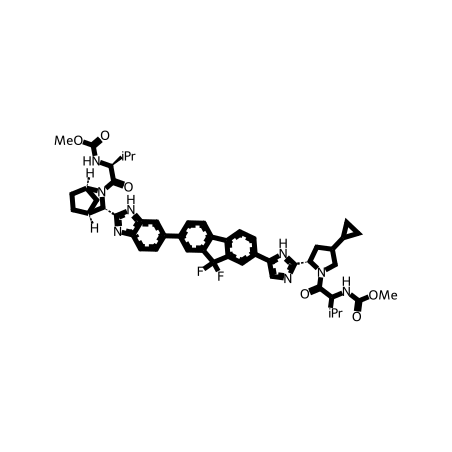 COC(=O)NC(C(=O)N1CC(C2CC2)C[C@H]1c1ncc(-c2ccc3c(c2)C(F)(F)c2cc(-c4ccc5nc([C@@H]6[C@H]7CC[C@H](C7)N6C(=O)[C@@H](NC(=O)OC)C(C)C)[nH]c5c4)ccc2-3)[nH]1)C(C)C